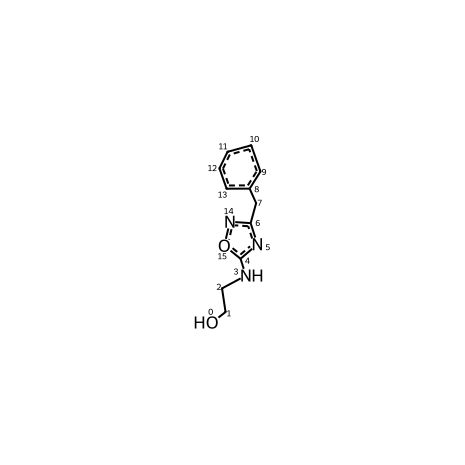 OCCNc1nc(Cc2ccccc2)no1